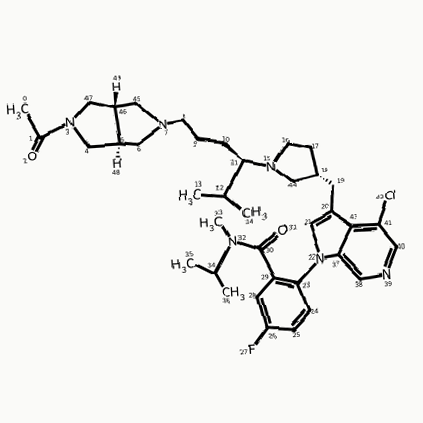 CC(=O)N1C[C@@H]2CN(CCC[C@H](C(C)C)N3CC[C@H](Cc4cn(-c5ccc(F)cc5C(=O)N(C)C(C)C)c5cncc(Cl)c45)C3)C[C@H]2C1